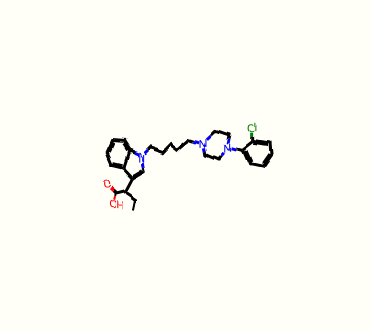 CCC(C(=O)O)c1cn(CCCCCN2CCN(c3ccccc3Cl)CC2)c2ccccc12